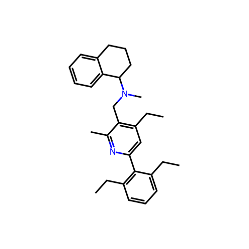 CCc1cc(-c2c(CC)cccc2CC)nc(C)c1CN(C)C1CCCc2ccccc21